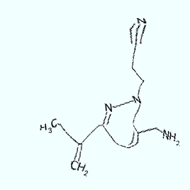 C=C(C)c1cc(N)n(CCC#N)n1